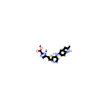 COC(=O)c1ncc(-c2cc3nccc(Nc4ccc5[nH]c(C)cc5c4)c3s2)n1C